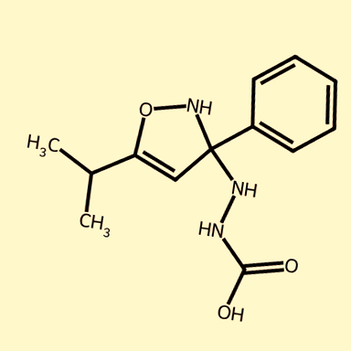 CC(C)C1=CC(NNC(=O)O)(c2ccccc2)NO1